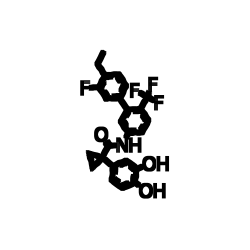 CCc1ccc(-c2cc(NC(=O)C3(c4ccc(O)c(O)c4)CC3)ccc2C(F)(F)F)cc1F